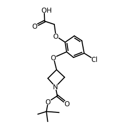 CC(C)(C)OC(=O)N1CC(Oc2cc(Cl)ccc2OCC(=O)O)C1